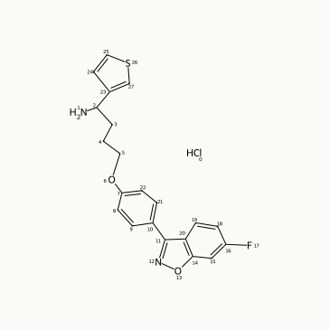 Cl.NC(CCCOc1ccc(-c2noc3cc(F)ccc23)cc1)c1ccsc1